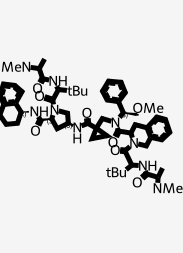 CNC(C)C(=O)NC(C(=O)N1Cc2ccccc2CC1C(=O)N(CC1(C(=O)N[C@H]2C[C@@H](C(=O)N[C@@H]3CCCc4ccccc43)N(C(=O)C(NC(=O)C(C)NC)C(C)(C)C)C2)CC1)[C@H](COC)c1ccccc1)C(C)(C)C